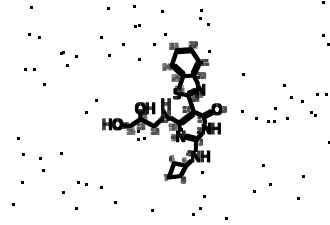 O=c1[nH]c(NC2CCC2)nc(NC[C@H](O)CO)c1-c1nc2ccccc2s1